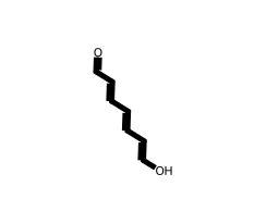 O=CC=CC=CC=CO